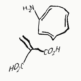 C=C(C(=O)O)C(=O)O.Nc1ccccc1